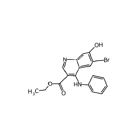 CCOC(=O)c1cnc2cc(O)c(Br)cc2c1Nc1ccccc1